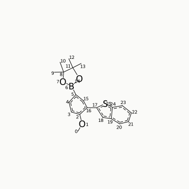 COc1ccc(B2OC(C)(C)C(C)(C)O2)cc1-c1cc2ccccc2s1